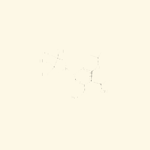 COc1cc(B2OC(C)(C)C(C)(C)O2)cc(OC(F)F)c1C(=O)O